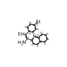 CCC(=C(N)c1ccc2ccccc2n1)c1ccc(CC)cc1